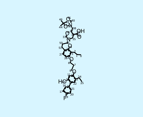 CCCc1c(OCCCOc2cc(O)c(-c3ccc(F)cc3)cc2CC)ccc2c1OC(N(C=O)CC(CCN(C=O)OC(C)(C)C)C(=O)O)CC2